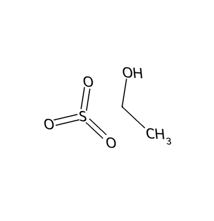 CCO.O=S(=O)=O